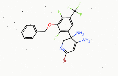 NC1=CC(Br)=NCC1(N)c1cc(C(F)(F)F)c(F)c(OCc2ccccc2)c1F